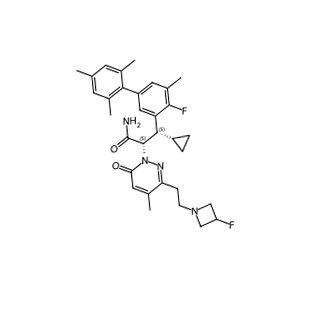 Cc1cc(C)c(-c2cc(C)c(F)c([C@H](C3CC3)[C@@H](C(N)=O)n3nc(CCN4CC(F)C4)c(C)cc3=O)c2)c(C)c1